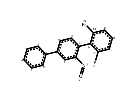 O=Nc1cc(-c2ccccc2)ccc1-c1c(F)cccc1Br